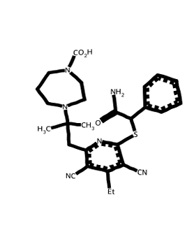 CCc1c(C#N)c(CC(C)(C)N2CCCN(C(=O)O)CC2)nc(SC(C(N)=O)c2ccccc2)c1C#N